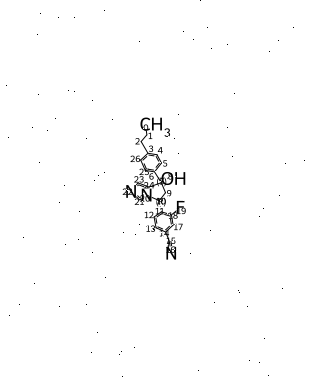 CCCc1ccc([C@@]2(O)C[C@H](c3ccc(C#N)cc3F)n3cncc32)cc1